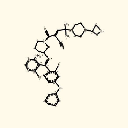 CC(C)(/C=C(\C#N)C(=O)N1CCCC(/N=C(/c2ccc(Oc3ccccc3)cc2F)c2c(N)ncnc2N)C1)N1CCN(C2COC2)CC1